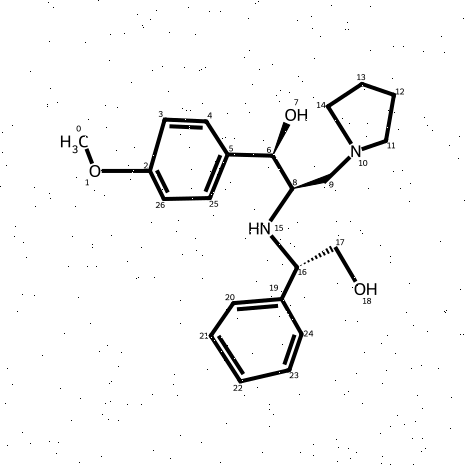 COc1ccc([C@@H](O)[C@@H](CN2CCCC2)N[C@H](CO)c2ccccc2)cc1